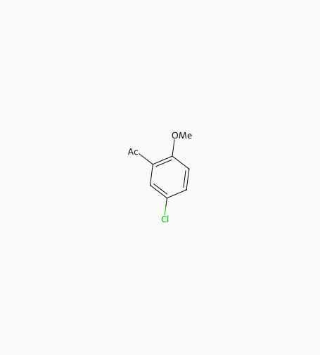 COc1ccc(Cl)cc1C(C)=O